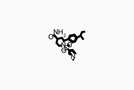 CCC(C)c1ccc(C2CC(C(N)=O)CCN2S(=O)(=O)c2ccn(C)c2)cc1